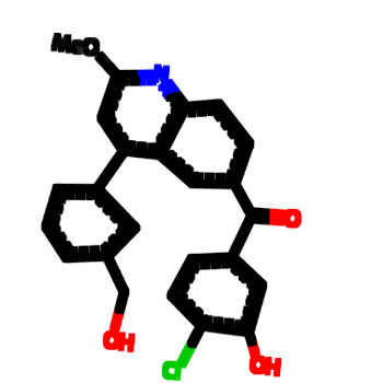 COc1cc(-c2cccc(CO)c2)c2cc(C(=O)c3ccc(Cl)c(O)c3)ccc2n1